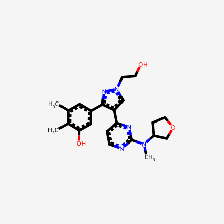 Cc1cc(-c2nn(CCO)cc2-c2ccnc(N(C)C3CCOC3)n2)cc(O)c1C